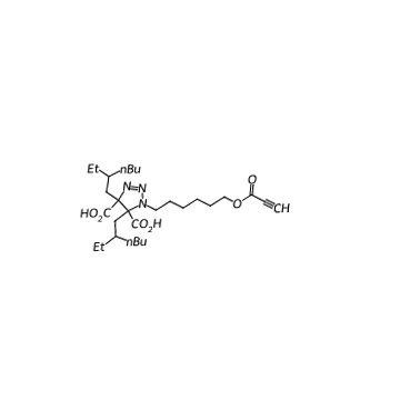 C#CC(=O)OCCCCCCN1N=NC(CC(CC)CCCC)(C(=O)O)C1(CC(CC)CCCC)C(=O)O